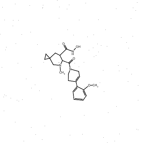 COc1ccccc1C1=CCN(C(=O)C2C(C(=O)NO)CC3(CC3)CN2C)CC1